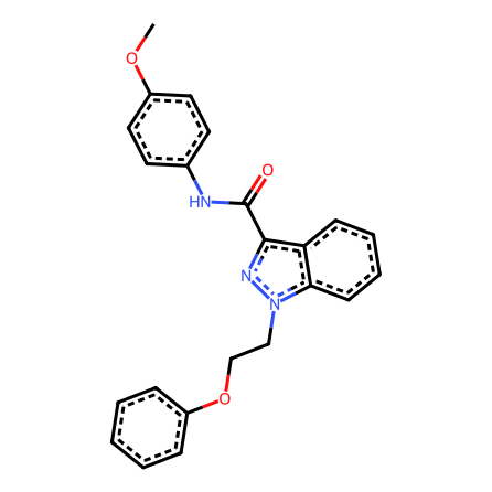 COc1ccc(NC(=O)c2nn(CCOc3ccccc3)c3ccccc23)cc1